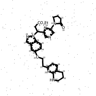 CCOC(=O)CC(c1cncc(N2CCCC2=O)n1)n1ncc2cc(OCCc3ccc4c(n3)NCCC4)ccc21